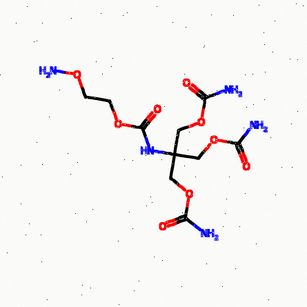 NOCCOC(=O)NC(COC(N)=O)(COC(N)=O)COC(N)=O